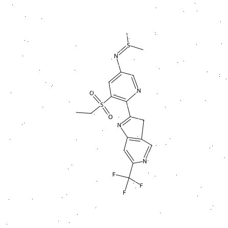 CCS(=O)(=O)c1cc(N=S(C)C)cnc1C1=Nc2cc(C(F)(F)F)ncc2C1